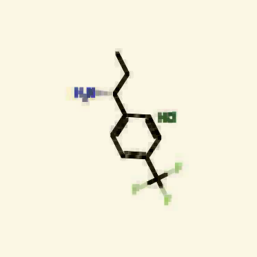 CC[C@@H](N)c1ccc(C(F)(F)F)cc1.Cl